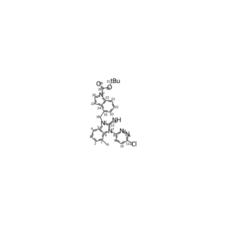 Cc1cccc2c1n(-c1ccc(Cl)nn1)c(=N)n2Cc1cccc2c1ccn2C(=O)OC(C)(C)C